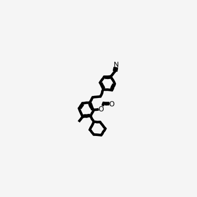 Cc1ccc(CCc2ccc(C#N)cc2)c(OC=O)c1C1CCCCC1